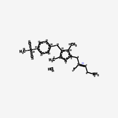 Cc1nn(C/C(F)=C/CN)c(C)c1Cc1ccc(S(C)(=O)=O)cc1.Cl